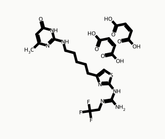 Cc1cc(=O)[nH]c(NCCCCCc2csc(NC(N)=NCC(F)(F)F)n2)n1.O=C(O)/C=C\C(=O)O.O=C(O)/C=C\C(=O)O